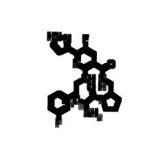 C[C@H](N)C(=O)N1CCCC1CNC(=O)c1cc(F)c(-c2cc[nH]n2)nc1NCCc1cccc(F)c1